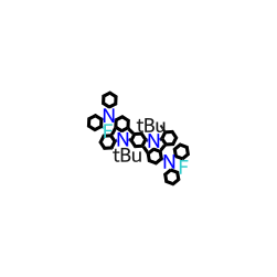 CC(C)(C)c1cccc2c3c(N(c4ccccc4)c4ccccc4F)ccc4c5cc6c(cc5n(c12)c43)c1ccc(N(c2ccccc2)c2ccccc2F)c2c3cccc(C(C)(C)C)c3n6c12